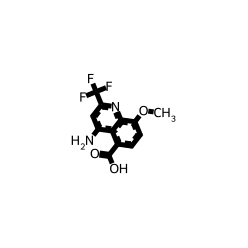 COc1ccc(C(=O)O)c2c(N)cc(C(F)(F)F)nc12